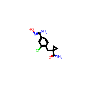 NC(=O)C1(Cc2ccc(C(N)=NO)cc2Cl)CC1